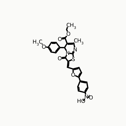 CCOC(=O)C1=C(C)N=c2s/c(=C\c3ccc(-c4ccc([N+](=O)O)cc4)o3)c(=O)n2C1c1ccc(OC)cc1